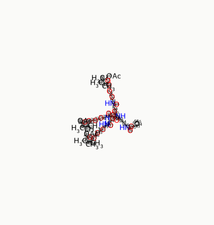 CC(=O)OCC1OC(OCCOCCOCCNC(=O)CCOCC(COCCC(=O)NCCOCCOCCOC2OC(COC(C)=O)C(C)C(C)C2C)(NC(=O)CCCCCNC(=O)OCc2ccccc2)OCC(=O)NCCOCCOCCOC2OC(COC(C)=O)C(C)C(C)C2C)C(C)C(C)C1C